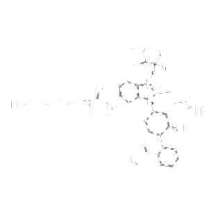 CCCCCCNC(=O)Nc1ccc2nc(CCCC)n(-c3ccc(-c4ccccc4C(=O)O)c(C)c3)c2c1.O=C(O)C(F)(F)F